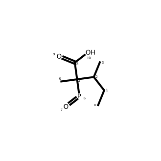 CCC(C)C(C)(P=O)C(=O)O